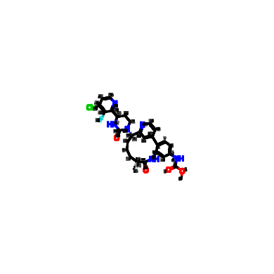 COC(=O)Nc1ccc2c(c1)NC(=O)[C@H](C)CCC[C@H](N1CCC(c3nccc(Cl)c3F)NC1=O)c1cc-2ccn1